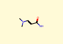 CN(C)C=CC([NH])=O